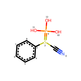 N#CS(c1ccccc1)=P(O)(O)O